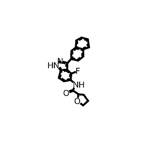 O=C(Nc1ccc2[nH]nc(-c3ccc4ccccc4c3)c2c1F)C1CCCO1